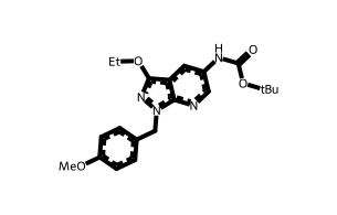 CCOc1nn(Cc2ccc(OC)cc2)c2ncc(NC(=O)OC(C)(C)C)cc12